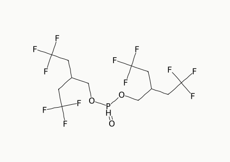 O=[PH](OCC(CC(F)(F)F)CC(F)(F)F)OCC(CC(F)(F)F)CC(F)(F)F